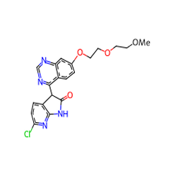 COCCOCCOc1ccc2c(C3C(=O)Nc4nc(Cl)ccc43)ncnc2c1